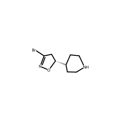 BrC1=NO[C@@H](C2CCNCC2)C1